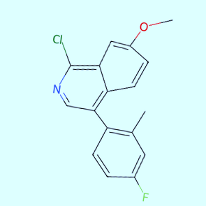 COc1ccc2c(-c3ccc(F)cc3C)cnc(Cl)c2c1